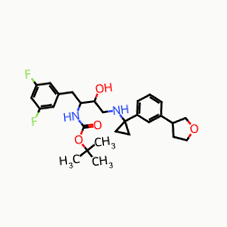 CC(C)(C)OC(=O)NC(Cc1cc(F)cc(F)c1)C(O)CNC1(c2cccc(C3CCOC3)c2)CC1